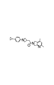 Cc1cc(C)c2c(n1)CN(C(=O)CC1CN(c3ccc(C4CC4)cc3)C1)C2